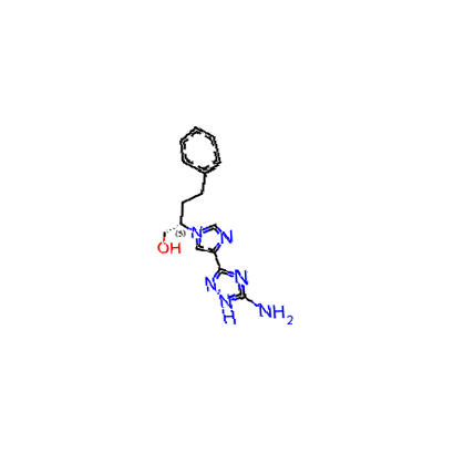 Nc1nc(-c2cn([C@H](CO)CCc3ccccc3)cn2)n[nH]1